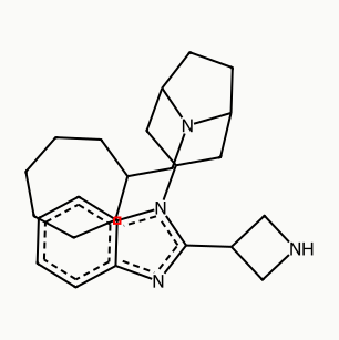 c1ccc2c(c1)nc(C1CNC1)n2C1CC2CCC(C1)N2CC1CCCCCC1